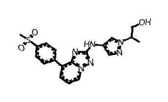 CC(CO)n1cc(Nc2nc3c(-c4ccc(S(C)(=O)=O)cc4)cccn3n2)cn1